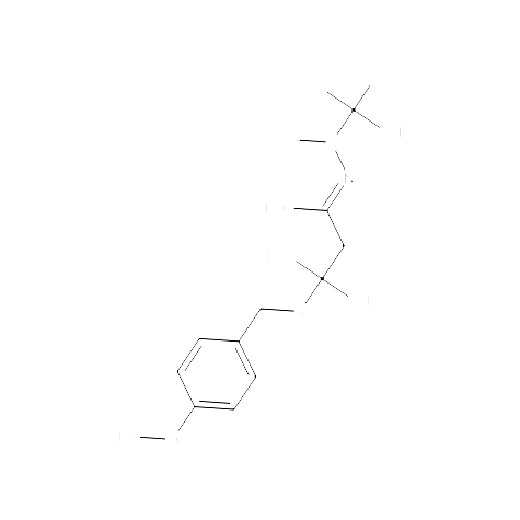 COc1ccc(CSC(C)(C)C/C(C)=N/[S+]([O-])C(C)(C)C)cc1